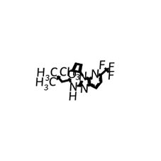 CC(C)(C)CC(=O)Nc1nc2ccc(C(F)(F)F)nc2n1C1=CC=C1